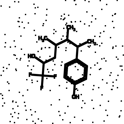 CC(CC(O)C(F)(F)F)C(C)C(C)c1ccc(O)cc1